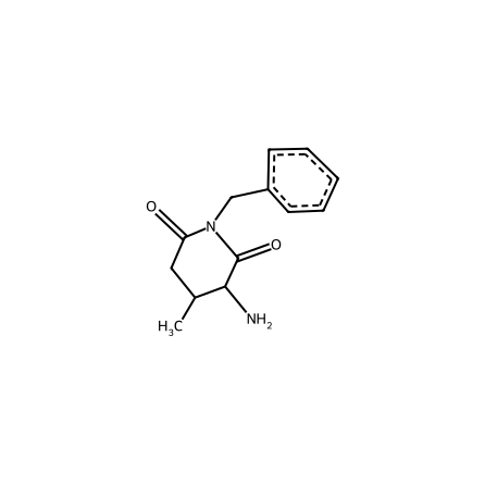 CC1CC(=O)N(Cc2ccccc2)C(=O)C1N